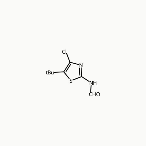 CC(C)(C)c1sc(NC=O)nc1Cl